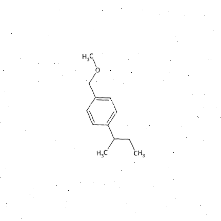 CCC(C)c1ccc(COC)cc1